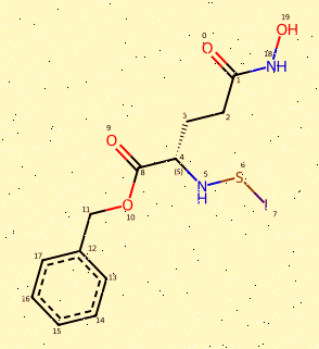 O=C(CC[C@H](NSI)C(=O)OCc1ccccc1)NO